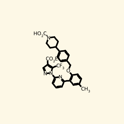 CCOC(=O)c1cnn(-c2cccc(-c3cc(C)ccc3OCc3ccc(C4CCN(C(=O)O)CC4)cc3)n2)c1C(F)(F)F